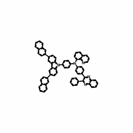 c1ccc(-c2nc3ccccc3nc2-c2ccc(N(c3ccc(-n4c5ccc(-c6ccc7ccccc7c6)cc5c5cc(-c6ccc7ccccc7c6)ccc54)cc3)c3cccc4cccnc34)cc2)cc1